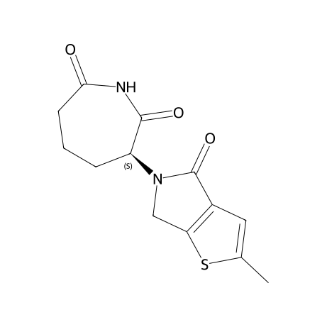 Cc1cc2c(s1)CN([C@H]1CCCC(=O)NC1=O)C2=O